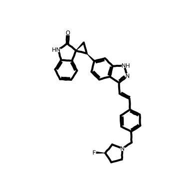 O=C1Nc2ccccc2[C@]12C[C@H]2c1ccc2c(C=Cc3ccc(CN4CC[C@@H](F)C4)cc3)n[nH]c2c1